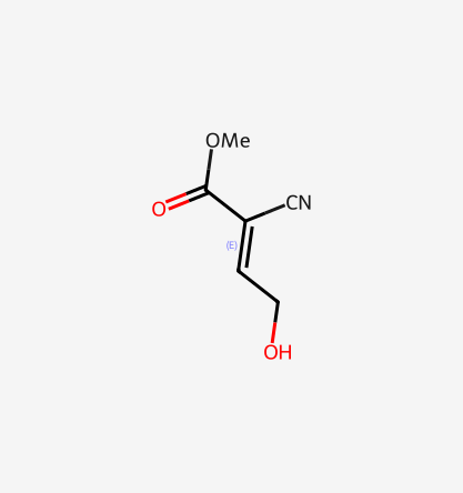 COC(=O)/C(C#N)=C/CO